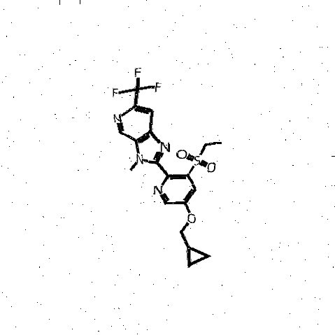 CCS(=O)(=O)c1cc(OCC2CC2)cnc1-c1nc2cc(C(F)(F)F)ncc2n1C